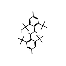 Cc1cc(C(C)(C)C)c(C(O)C(O)c2c(C(C)(C)C)cc(C)cc2C(C)(C)C)c(C(C)(C)C)c1